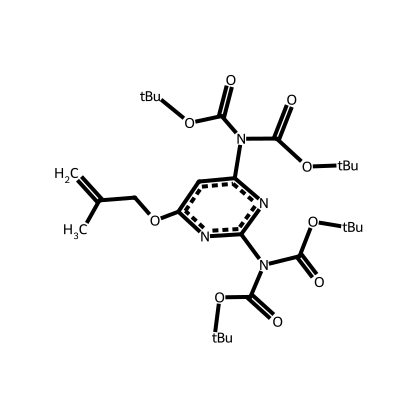 C=C(C)COc1cc(N(C(=O)OC(C)(C)C)C(=O)OC(C)(C)C)nc(N(C(=O)OC(C)(C)C)C(=O)OC(C)(C)C)n1